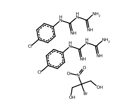 N=C(N)NC(=N)Nc1ccc(Cl)cc1.N=C(N)NC(=N)Nc1ccc(Cl)cc1.O=[N+]([O-])C(Br)(CO)CO